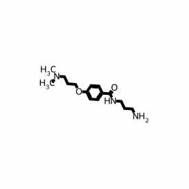 CN(C)CCCOc1ccc(C(=O)NCCCN)cc1